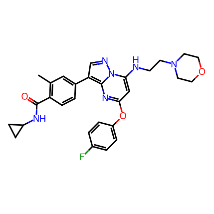 Cc1cc(-c2cnn3c(NCCN4CCOCC4)cc(Oc4ccc(F)cc4)nc23)ccc1C(=O)NC1CC1